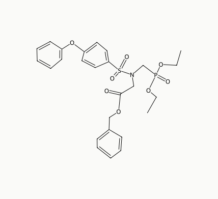 CCOP(=O)(CN(CC(=O)OCc1ccccc1)S(=O)(=O)c1ccc(Oc2ccccc2)cc1)OCC